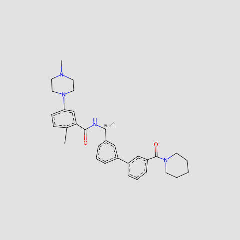 Cc1ccc(N2CCN(C)CC2)cc1C(=O)N[C@H](C)c1cccc(-c2cccc(C(=O)N3CCCCC3)c2)c1